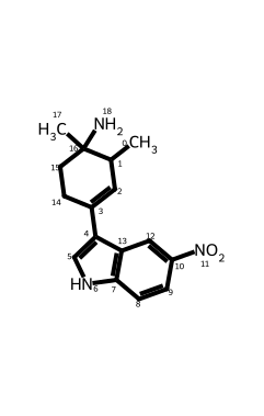 CC1C=C(c2c[nH]c3ccc([N+](=O)[O-])cc23)CCC1(C)N